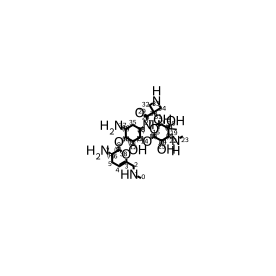 CNCC1=CC[C@@H](N)[C@@H](O[C@H]2[C@H](O)[C@@H](O[C@H]3OC[C@](C)(O)[C@H](NC)[C@H]3O)[C@H](NC(=O)C3(O)CNC3)C[C@@H]2N)O1